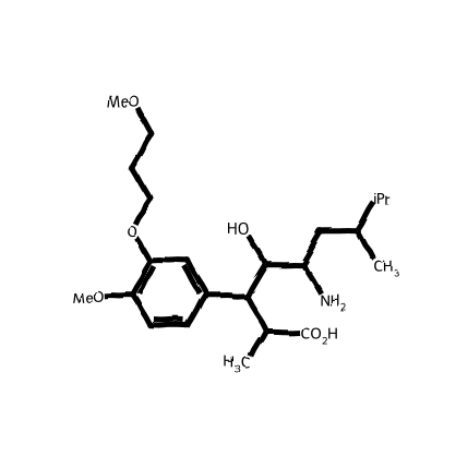 COCCCOc1cc(C(C(C)C(=O)O)C(O)C(N)CC(C)C(C)C)ccc1OC